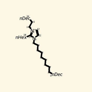 CCCCCCCCCCCCCCCCCCCn1cc[n+](CCCCCCCCCCCC)c1CCCCCC